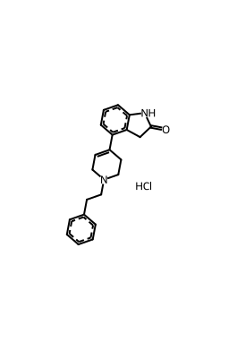 Cl.O=C1Cc2c(cccc2C2=CCN(CCc3ccccc3)CC2)N1